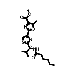 CCCCCC(=O)N[C@H](c1nc(-c2nc(C(=O)OC)c(C)o2)cs1)C(C)C